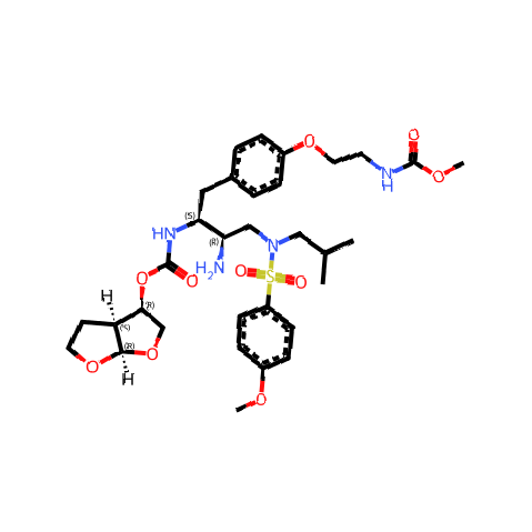 COC(=O)NCCOc1ccc(C[C@H](NC(=O)O[C@H]2CO[C@H]3OCC[C@H]32)[C@H](N)CN(CC(C)C)S(=O)(=O)c2ccc(OC)cc2)cc1